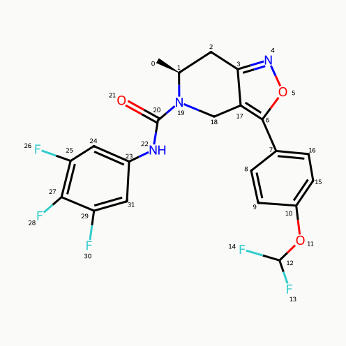 C[C@H]1Cc2noc(-c3ccc(OC(F)F)cc3)c2CN1C(=O)Nc1cc(F)c(F)c(F)c1